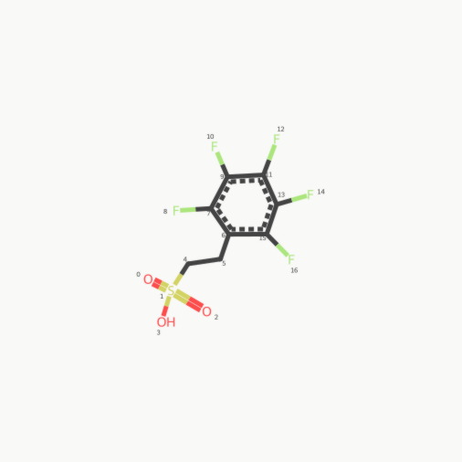 O=S(=O)(O)CCc1c(F)c(F)c(F)c(F)c1F